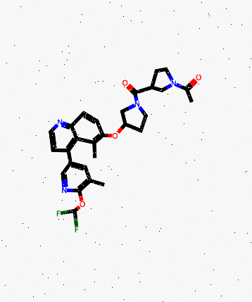 CC(=O)N1CCC(C(=O)N2CCC(Oc3ccc4nccc(-c5cnc(OC(F)F)c(C)c5)c4c3C)C2)C1